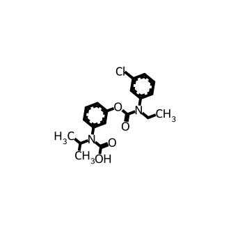 CCN(C(=O)Oc1cccc(N(C(=O)O)C(C)C)c1)c1cccc(Cl)c1